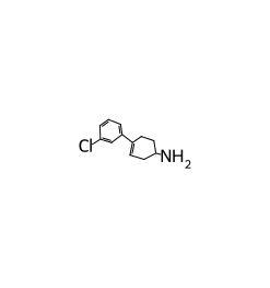 NC1CC=C(c2cccc(Cl)c2)CC1